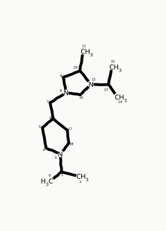 CC(C)N1CCC(CN2CC(C)N(C(C)C)C2)CC1